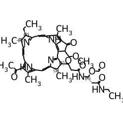 CCNC(=O)C[C@H](NC(=O)CC[C@@H]1c2nc(cc3[nH]c(cc4nc(cc5[nH]c6c(c5C)C(=O)C(C(=O)OC)c26)[C@H](CC)[C@H]4C)c(C(C)=O)c3C)[C@H]1C)OC=O